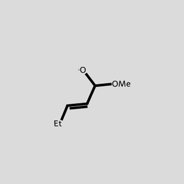 CCC=CC([O])OC